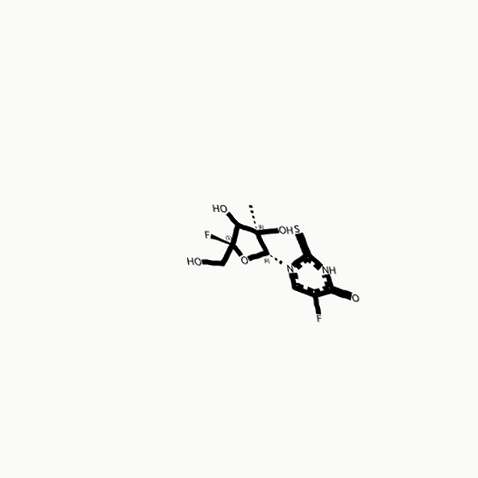 C[C@@]1(O)C(O)[C@@](F)(CO)O[C@H]1n1cc(F)c(=O)[nH]c1=S